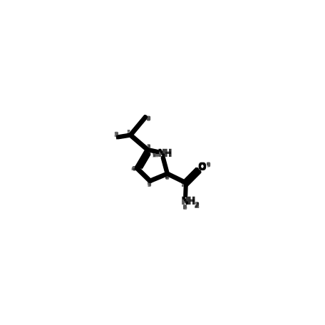 CC(C)C1=CCC(C(N)=O)N1